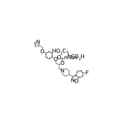 CCCCCCCCCC(=O)OC(COc1ccc(OCC2=NC=C2)cc1)CN1CCC(c2noc3cc(F)ccc23)CC1.O=C(O)/C=C/C(=O)O